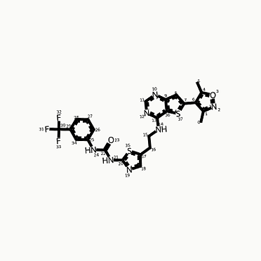 Cc1noc(C)c1-c1cc2ncnc(NCCc3cnc(NC(=O)Nc4cccc(C(F)(F)F)c4)s3)c2s1